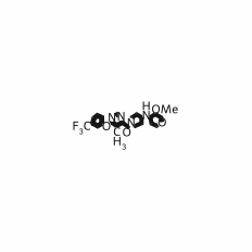 COC1COCCC1NC1CCN(C(=O)c2ncnc(Oc3cccc(C(F)(F)F)c3)c2C)CC1